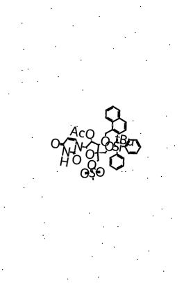 CC(=O)O[C@H]1[C@H](n2ccc(=O)[nH]c2=O)O[C@@](CO[Si](c2ccccc2)(c2ccccc2)C(C)(C)C)(COS(C)(=O)=O)[C@H]1OCc1cccc2ccccc12